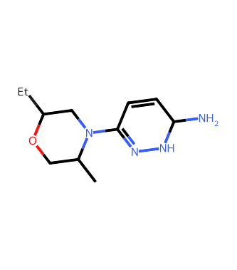 CCC1CN(C2=NN[C](N)C=C2)C(C)CO1